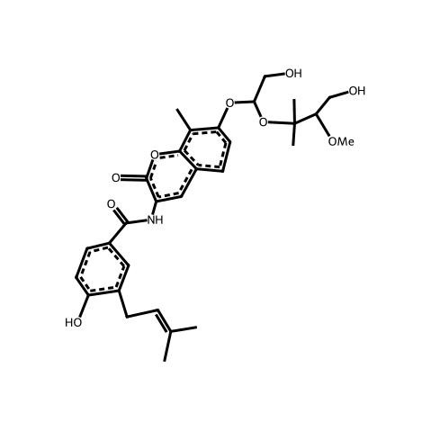 COC(CO)C(C)(C)OC(CO)Oc1ccc2cc(NC(=O)c3ccc(O)c(CC=C(C)C)c3)c(=O)oc2c1C